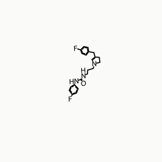 O=C(NCCCN1C=C(Cc2ccc(F)cc2)CC1)Nc1ccc(F)cc1